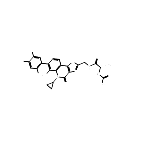 Cc1c(-c2cc(F)c(N)cc2F)ccc2c3oc(CNC(=O)[C@H](C)NC(=O)O)nc3c(=O)n(C3CC3)c12